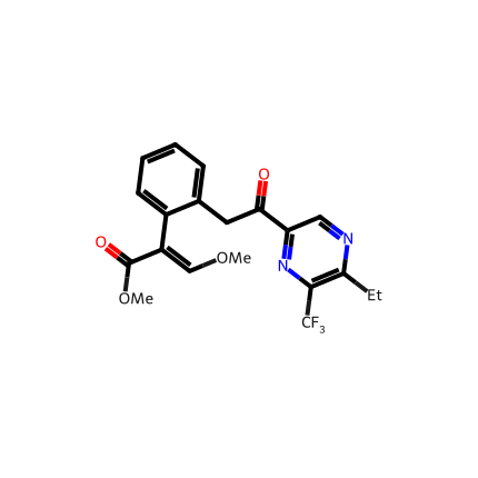 CCc1ncc(C(=O)Cc2ccccc2/C(=C\OC)C(=O)OC)nc1C(F)(F)F